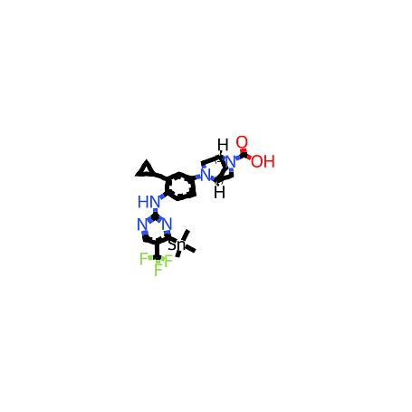 [CH3][Sn]([CH3])([CH3])[c]1nc(Nc2ccc(N3C[C@@H]4C[C@H]3CN4C(=O)O)cc2C2CC2)ncc1C(F)(F)F